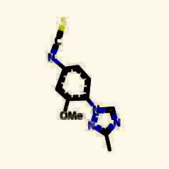 COc1cc(N=C=S)ccc1-n1cnc(C)n1